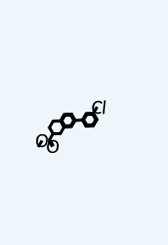 COC(=O)C1CCc2ccc(-c3cccc(Cl)c3)cc2C1